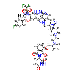 CC(Oc1cc(-c2nn(C)c3c(-c4cnn(C5CCN(CCN6CCCC6COc6cccc7c6C(=O)N(C6CCC(=O)NC6=O)C7=O)CC5)c4)cnc(N)c23)ccc1NS(=O)(=O)C(F)F)c1ccc(F)cc1